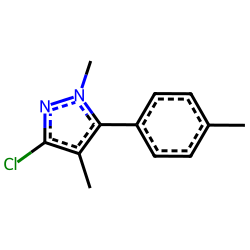 Cc1ccc(-c2c(C)c(Cl)nn2C)cc1